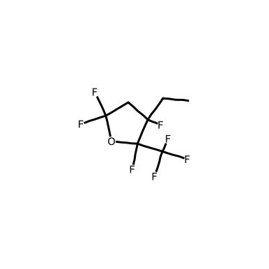 CCC1(F)CC(F)(F)OC1(F)C(F)(F)F